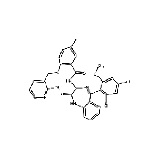 COc1cc(Cl)cc(Cl)c1C1=NC(NC(=O)c2cc(F)cnc2OCc2cccnc2C)C(=O)Nc2ccccc21